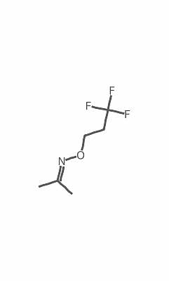 CC(C)=NOCCC(F)(F)F